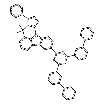 CC1(C)c2cccc3c4cc(-c5nc(-c6cccc(-c7ccccc7)c6)nc(-c6cccc(-c7ccccc7)c6)n5)ccc4n(c23)-c2ccn(-c3ccccc3)c21